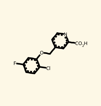 O=C(O)c1cc(COc2cc(F)ccc2Cl)ccn1